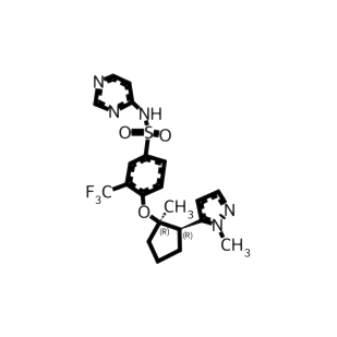 Cn1nccc1[C@H]1CCC[C@@]1(C)Oc1ccc(S(=O)(=O)Nc2ccncn2)cc1C(F)(F)F